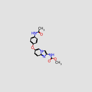 COC(=O)Nc1cn2cc(Oc3ccc(NC(C)=O)cc3)ccc2n1